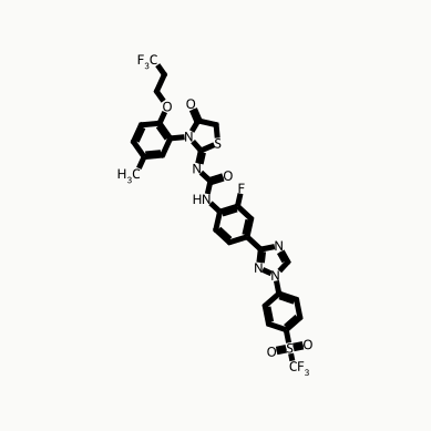 Cc1ccc(OCCC(F)(F)F)c(N2C(=O)CS/C2=N\C(=O)Nc2ccc(-c3ncn(-c4ccc(S(=O)(=O)C(F)(F)F)cc4)n3)cc2F)c1